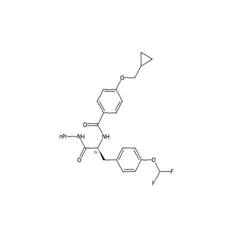 CCCNC(=O)[C@H](Cc1ccc(OC(F)F)cc1)NC(=O)c1ccc(OCC2CC2)cc1